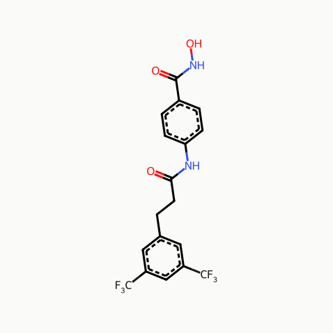 O=C(CCc1cc(C(F)(F)F)cc(C(F)(F)F)c1)Nc1ccc(C(=O)NO)cc1